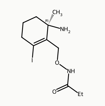 CCC(=O)NOCC1=C(I)CCC[C@@]1(C)N